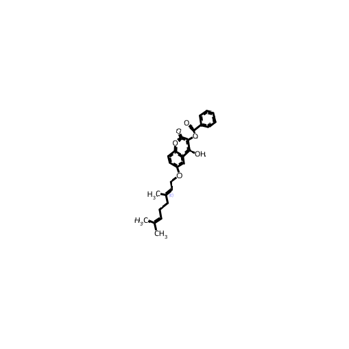 CC(C)=CCC/C(C)=C/COc1ccc2oc(=O)c(OC(=O)c3ccccc3)c(O)c2c1